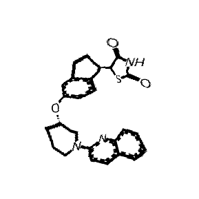 O=C1NC(=O)C([C@@H]2CCc3cc(O[C@H]4CCCN(c5ccc6ccccc6n5)C4)ccc32)S1